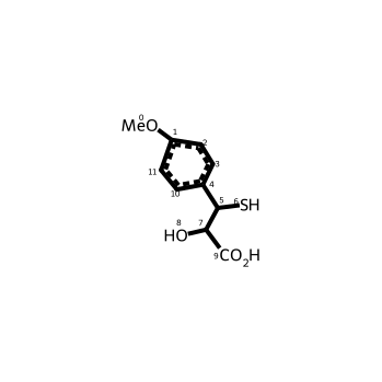 COc1ccc(C(S)C(O)C(=O)O)cc1